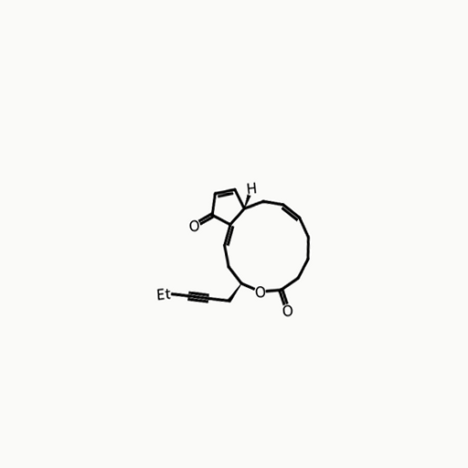 CCC#CC[C@H]1C/C=C2/C(=O)C=C[C@@H]2C/C=C\CCCC(=O)O1